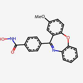 COc1ccc2c(c1)C(c1ccc(C(=O)NO)cc1)=Nc1ccccc1O2